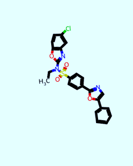 CCN(c1nc2cc(Cl)ccc2o1)S(=O)(=O)c1ccc(-c2ncc(-c3ccccc3)o2)cc1